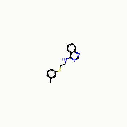 Cc1cccc(SCCNc2ncnc3ccccc23)c1